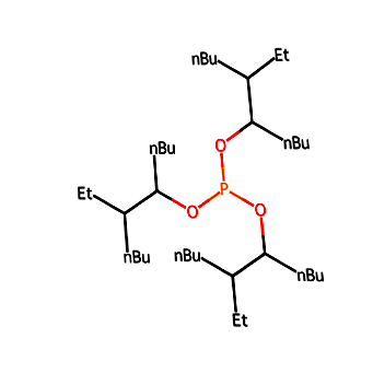 CCCCC(CC)C(CCCC)OP(OC(CCCC)C(CC)CCCC)OC(CCCC)C(CC)CCCC